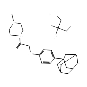 CN1CCN(C(=O)COc2ccc(C34CC5CC(CC(C5)C3)C4)cc2)CC1.O=C(O)CC(O)(CC(=O)O)C(=O)O